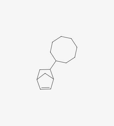 C1=CC2CC1CC2C1CCCCCCC1